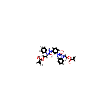 C=C(C)C(=O)OCCN(C(=O)N(C)c1cccc(N(C)C(=O)N(CCOC(=O)C(=C)C)c2ccccc2)c1)c1ccccc1